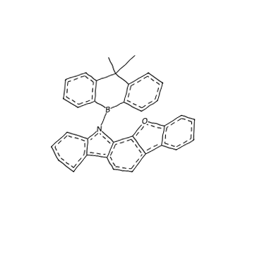 CC1(C)c2ccccc2B(n2c3ccccc3c3ccc4c5ccccc5oc4c32)c2ccccc21